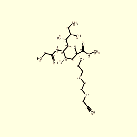 C#CCOCCOCCO[C@]1(C(=O)OC)C[C@H](O)[C@@H](NC(=O)CO)[C@H]([C@H](O)[C@H](O)CN)O1